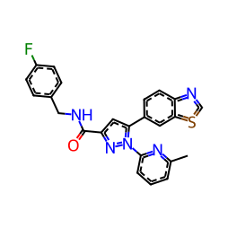 Cc1cccc(-n2nc(C(=O)NCc3ccc(F)cc3)cc2-c2ccc3ncsc3c2)n1